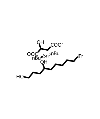 CC(C)CCCCCC(O)CCCO.CCC[CH2][Sn+2][CH2]CCC.O=C([O-])CC(O)C(=O)[O-]